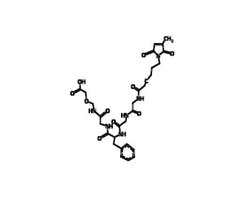 CC1=CC(=O)N(CCCCCC(=O)NCC(=O)NCC(=O)NC(Cc2ccccc2)C(=O)NCC(=O)NCOCC(=O)O)C1=O